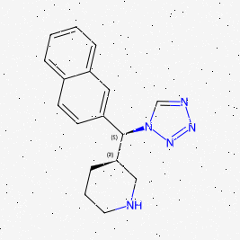 c1ccc2cc([C@H]([C@@H]3CCCNC3)n3cnnn3)ccc2c1